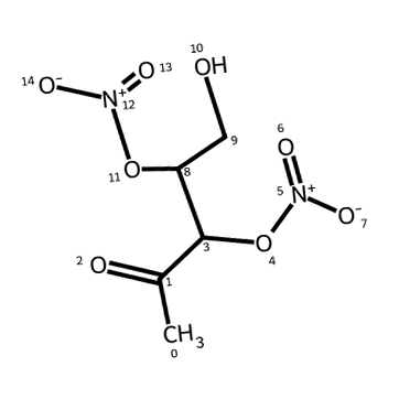 CC(=O)C(O[N+](=O)[O-])C(CO)O[N+](=O)[O-]